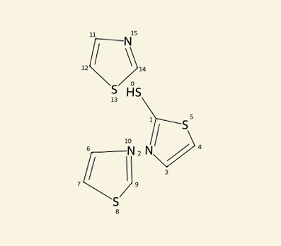 Sc1nccs1.c1cscn1.c1cscn1